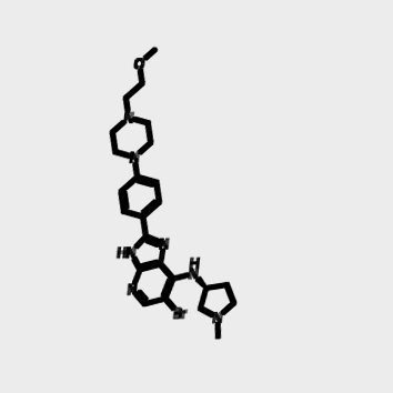 COCCN1CCN(c2ccc(-c3nc4c(N[C@H]5CCN(C)C5)c(Br)cnc4[nH]3)cc2)CC1